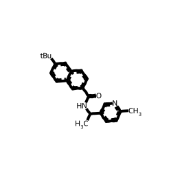 Cc1ccc(C(C)NC(=O)c2ccc3cc(C(C)(C)C)ccc3c2)cn1